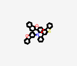 c1ccc(N(c2ccc3oc4ccccc4c3c2)c2cccc3oc4c5ccccc5ccc4c23)c(-c2ccc3c(c2)sc2ccccc23)c1